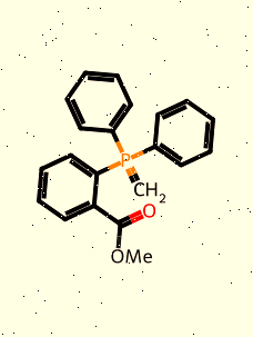 C=P(c1ccccc1)(c1ccccc1)c1ccccc1C(=O)OC